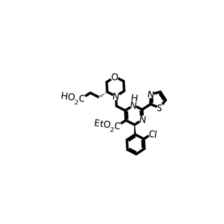 CCOC(=O)C1=C(CN2CCOC[C@H]2CCC(=O)O)NC(c2nccs2)=N[C@H]1c1ccccc1Cl